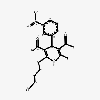 CC(=O)C1=C(C)NC(CCCCCl)=C(C(C)=O)C1c1cccc([N+](=O)[O-])c1